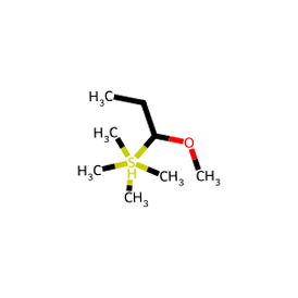 CCC(OC)[SH](C)(C)(C)C